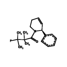 CC(C)(F)C(C)(C)C(=O)N1CCC=C[C@H]1c1ccccc1